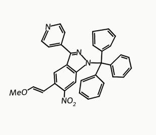 COC=Cc1cc2c(-c3ccncc3)nn(C(c3ccccc3)(c3ccccc3)c3ccccc3)c2cc1[N+](=O)[O-]